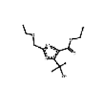 CCOCc1nc(C(C)(C)O)c(C(=O)OCC)[nH]1